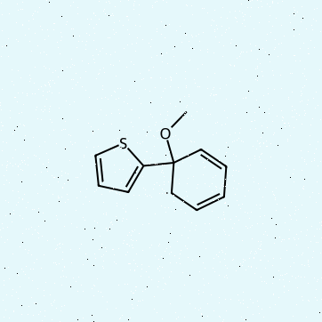 COC1(c2cccs2)[CH]C=CC=C1